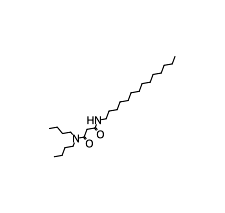 CCCCCCCCCCCCCCNC(=O)CC(=O)N(CCCC)CCCC